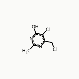 Cc1nc(O)c(Cl)c(CCl)n1